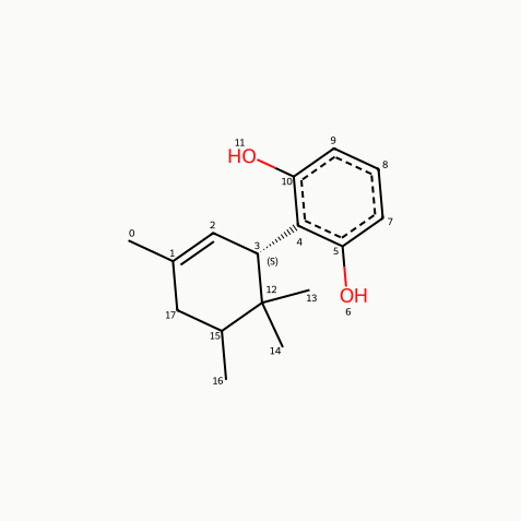 CC1=C[C@H](c2c(O)cccc2O)C(C)(C)C(C)C1